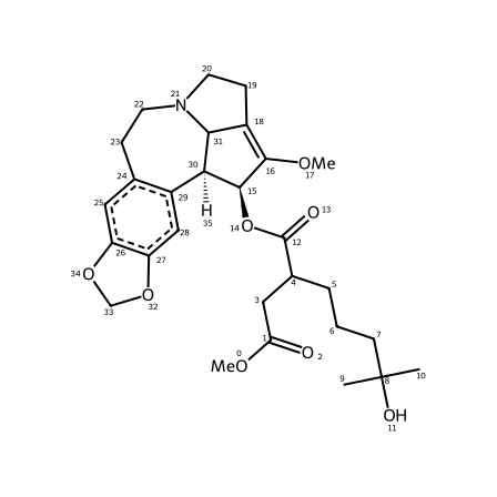 COC(=O)CC(CCCC(C)(C)O)C(=O)O[C@@H]1C(OC)=C2CCN3CCc4cc5c(cc4[C@H]1C23)OCO5